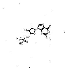 CP(=O)(O)OC[C@H]1O[C@@H](n2cnc3c(=O)[nH]c(N)nc32)C[C@@H]1O